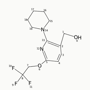 OCc1ccc(OCC(F)(F)F)nc1N1CCCCC1